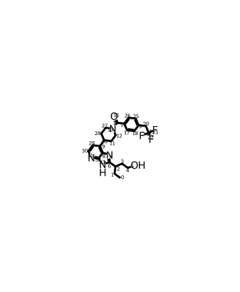 CCC(CCO)c1nc2c(C3CCN(C(=O)c4ccc(CC(F)(F)F)cc4)CC3)ccnc2[nH]1